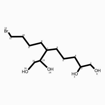 OCC(O)CCCC(CCCCBr)C(O)CO